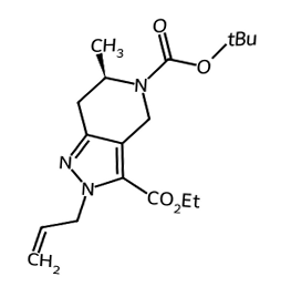 C=CCn1nc2c(c1C(=O)OCC)CN(C(=O)OC(C)(C)C)[C@H](C)C2